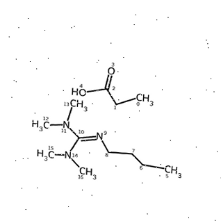 CCC(=O)O.CCCCN=C(N(C)C)N(C)C